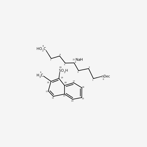 CCCCCCCCCCCCCCCCCC(=O)O.Cc1ccc2ccccc2c1S(=O)(=O)O.[NaH]